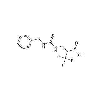 O=C(O)C(CNC(=S)NCc1ccccc1)C(F)(F)F